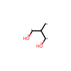 [CH2]C([CH]O)CO